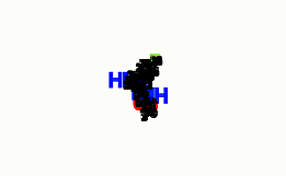 CC(C)(C)OC(=O)Nc1nc2n(n1)C(c1ccc(F)cc1)CNC2